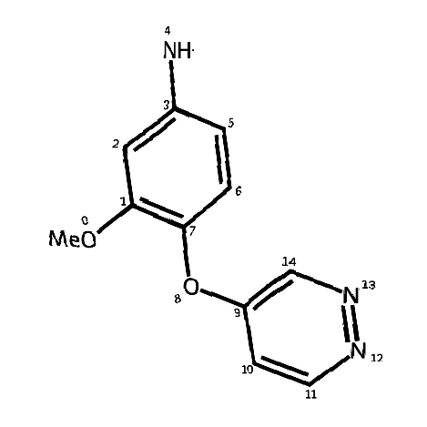 COc1cc([NH])ccc1Oc1ccnnc1